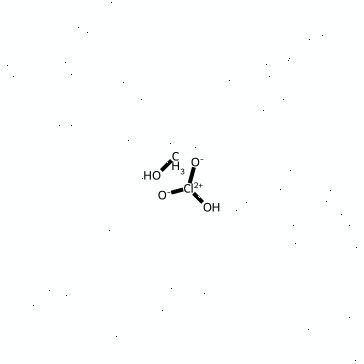 CO.[O-][Cl+2]([O-])O